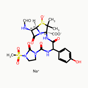 CC1(C)[S+]([O-])[C@@H]2[C@H](NC=O)C(=O)N2[C@@]1(NC(=O)C(NC(=O)N1CCN(S(C)(=O)=O)C1=O)c1ccc(O)cc1)C(=O)[O-].[Na+]